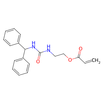 C=CC(=O)OCCNC(=O)NC(c1ccccc1)c1ccccc1